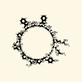 CCCC[C@H]1C(=O)N(C)[C@@H](CCCC)C(=O)N[C@@H](CCCNC(=N)N)C(=O)N[C@H](C(=O)NCC(N)=O)CSCC(=O)N[C@@H](Cc2ccc(O)cc2)C(=O)N2CC[C@H](O)[C@H]2C(=O)N[C@@H](CC(N)=O)C(=O)N2CCC[C@H]2C(=O)N[C@@H](Cc2cnc[nH]2)C(=O)N[C@@H](CC(C)C)C(=O)N2CCC[C@H]2C(=O)N[C@@H](Cc2c[nH]c3ccccc23)C(=O)N[C@@H](CO)C(=O)N[C@@H](Cc2csc3ccccc23)C(=O)N1C